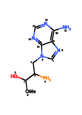 COC(O)C(P)Cn1cnc2c(N)ncnc21